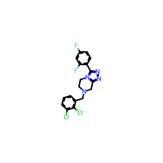 Fc1ccc(-c2nnc3n2CCN(Cc2cccc(Cl)c2Cl)C3)c(F)c1